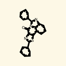 O=c1c2nc(-c3ccccc3)sc2c2cccc3nc(-c4ccccc4)n1c32